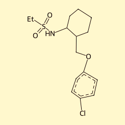 CCS(=O)(=O)NC1CCCCC1COc1ccc(Cl)cc1